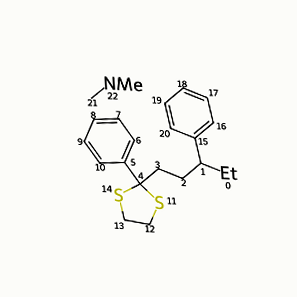 CCC(CCC1(c2ccccc2)SCCS1)c1ccccc1.CNC